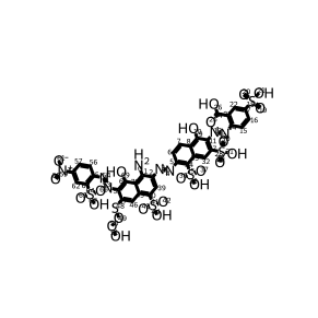 Nc1c(N=Nc2ccc3c(O)c(N=Nc4ccc(S(=O)(=O)O)cc4C(=O)O)c(S(=O)(=O)O)cc3c2S(=O)(=O)O)cc(S(=O)(=O)O)c2cc(SOOO)c(N=Nc3ccc([N+](=O)[O-])cc3S(=O)(=O)O)c(O)c12